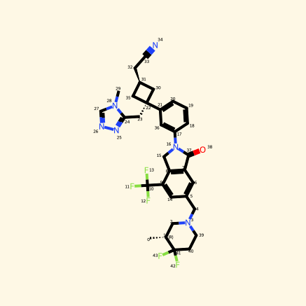 C[C@@H]1CN(Cc2cc3c(c(C(F)(F)F)c2)CN(c2cccc([C@]4(Cc5nncn5C)C[C@H](CC#N)C4)c2)C3=O)CCC1(F)F